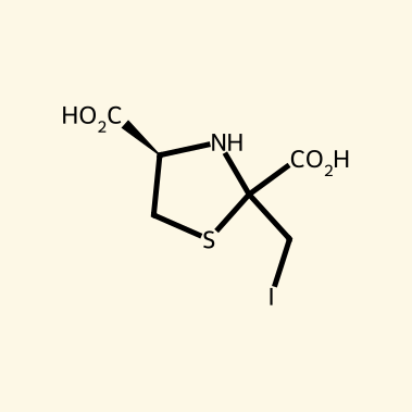 O=C(O)[C@@H]1CSC(CI)(C(=O)O)N1